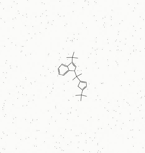 CC(C)(C)C1=CC=C(C(C)(C)C2C=C(C(C)(C)C)c3ccccc32)C1